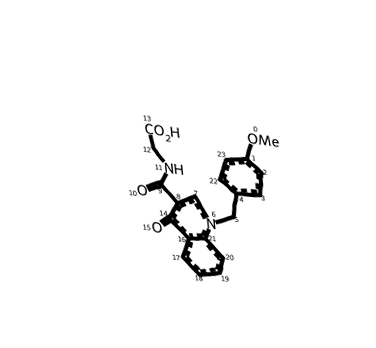 COc1ccc(Cn2cc(C(=O)NCC(=O)O)c(=O)c3ccccc32)cc1